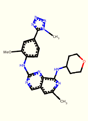 COc1cc(-c2nnnn2C)ccc1Nc1ncc2cc(C)nc(NC3CCOCC3)c2n1